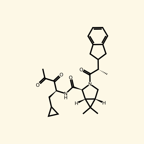 CC(=O)C(=O)[C@H](CC1CC1)NC(=O)[C@@H]1[C@@H]2[C@H](CN1C(=O)[C@@H](C)C1Cc3ccccc3C1)C2(C)C